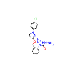 NNC(=O)N(N)c1ccccc1COc1ccn(-c2ccc(Cl)cc2)n1